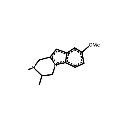 COc1ccc2c(c1)cc1n2CC(C)N(C)C1